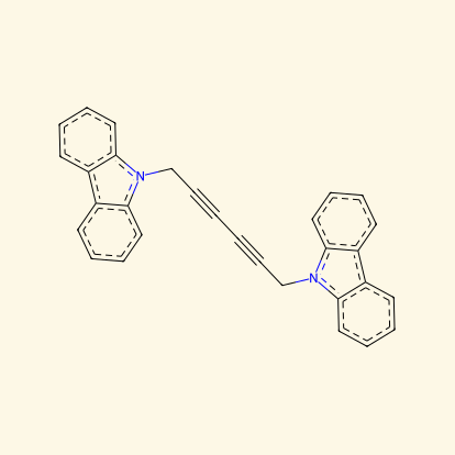 C(C#CCn1c2ccccc2c2ccccc21)#CCn1c2ccccc2c2ccccc21